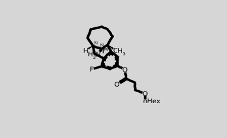 CCCCCCOCCC(=O)Oc1cc(F)c2c(c1)[C@@]1(C)CCCCC[C@@H](C2)[C@@H]1N